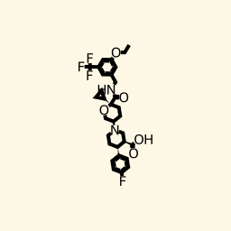 CCOc1cc(CNC(=O)[C@@]2(C3CC3)CC[C@@H](N3CC[C@@H](c4ccc(F)cc4)[C@H](C(=O)O)C3)CO2)cc(C(F)(F)F)c1